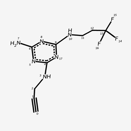 C#CCNc1nc(N)nc(NCCC(F)(F)F)n1